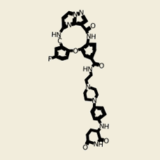 O=C1CCC(Nc2ccc(N3CCN(CCNC(=O)c4ccc5c(c4)Oc4ccc(F)cc4CNc4ccn6ncc(c6n4)C(=O)N5)CC3)cc2)C(=O)N1